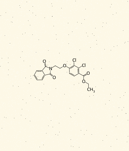 CCOC(=O)c1ccc(OCCN2C(=O)c3ccccc3C2=O)c(Cl)c1Cl